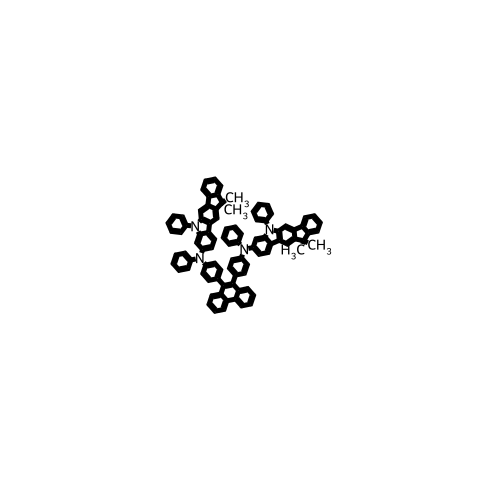 CC1(C)c2ccccc2-c2cc3c(cc21)c1ccc(N(c2ccccc2)c2ccc(-c4c(-c5ccc(N(c6ccccc6)c6ccc7c8cc9c(cc8n(-c8ccccc8)c7c6)-c6ccccc6C9(C)C)cc5)c5ccccc5c5ccccc45)cc2)cc1n3-c1ccccc1